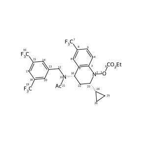 CCOC(=O)ON1c2ccc(C(F)(F)F)cc2[C@@H](N(Cc2cc(C(F)(F)F)cc(C(F)(F)F)c2)C(C)=O)C[C@H]1C1CC1